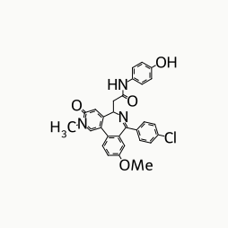 COc1ccc2c(c1)C(c1ccc(Cl)cc1)=NC(CC(=O)Nc1ccc(O)cc1)c1cc(=O)n(C)cc1-2